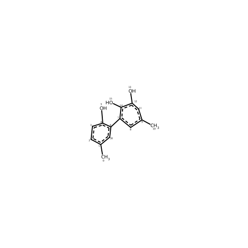 Cc1ccc(O)c(-c2cc(C)cc(O)c2O)c1